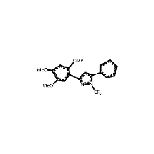 COc1cc(OC)c(-c2cc(-c3ccccc3)n(C(F)(F)F)n2)cc1OC